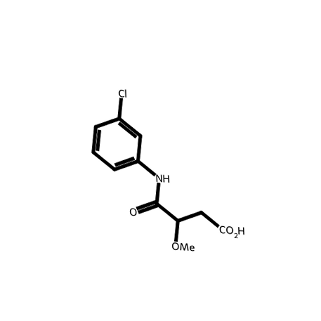 COC(CC(=O)O)C(=O)Nc1cccc(Cl)c1